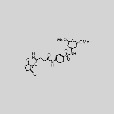 COc1cc(NS(=O)(=O)C2=CC=C(NC(=O)CCC(=N)ON3C(=O)CCC3=O)CC2)nc(OC)n1